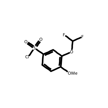 COc1ccc(S(=O)(=O)Cl)cc1OC(F)F